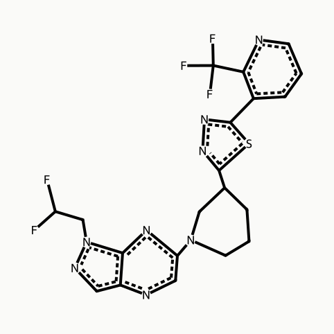 FC(F)Cn1ncc2ncc(N3CCCC(c4nnc(-c5cccnc5C(F)(F)F)s4)C3)nc21